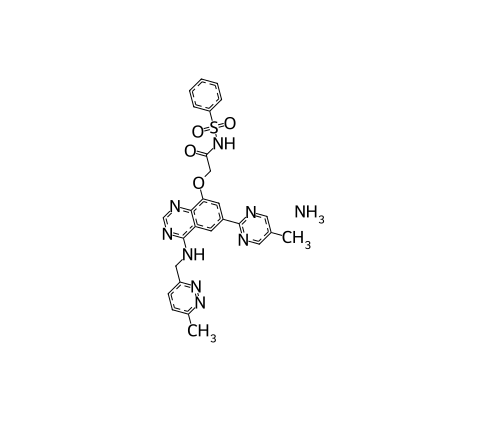 Cc1cnc(-c2cc(OCC(=O)NS(=O)(=O)c3ccccc3)c3ncnc(NCc4ccc(C)nn4)c3c2)nc1.N